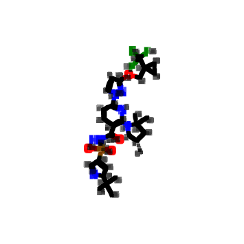 C[C@@H]1CN(c2nc(-n3ccc(OCC4(C(F)(F)F)CC4)n3)ccc2C(=O)NS(=O)(=O)C2=CC(C(C)(C)C)N=C2)C(C)(C)C1